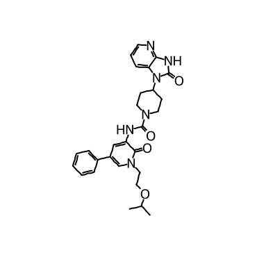 CC(C)OCCn1cc(-c2ccccc2)cc(NC(=O)N2CCC(n3c(=O)[nH]c4ncccc43)CC2)c1=O